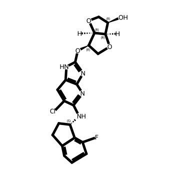 O[C@@H]1CO[C@H]2[C@@H]1OC[C@H]2Oc1nc2nc(N[C@H]3CCc4cccc(F)c43)c(Cl)cc2[nH]1